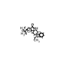 CCN[C@]1(c2ccccc2)CC[C@@]2(CC1)CN(CC(C)(C)C(N)=O)C(=O)N2